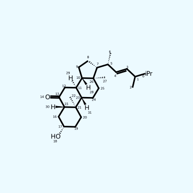 CC(C)C(C)/C=C/[C@@H](C)[C@H]1CC[C@H]2[C@@H]3CC(=O)[C@H]4C[C@@H](O)CC[C@]4(C)[C@H]3CC[C@]12C